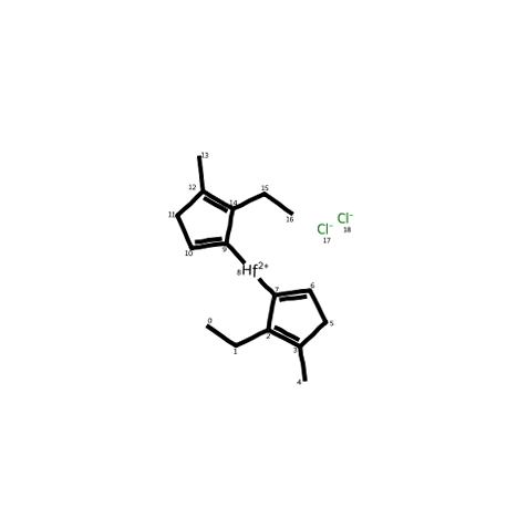 CCC1=C(C)CC=[C]1[Hf+2][C]1=CCC(C)=C1CC.[Cl-].[Cl-]